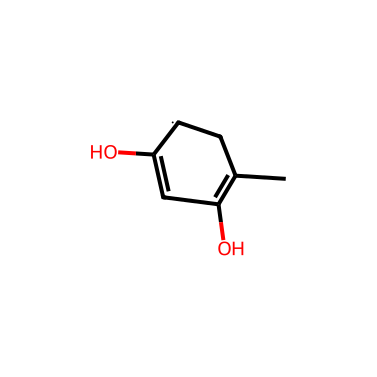 CC1=C(O)C=C(O)[CH]C1